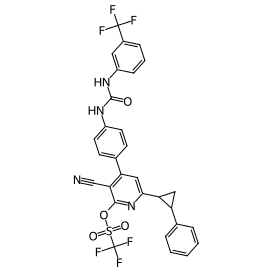 N#Cc1c(-c2ccc(NC(=O)Nc3cccc(C(F)(F)F)c3)cc2)cc(C2CC2c2ccccc2)nc1OS(=O)(=O)C(F)(F)F